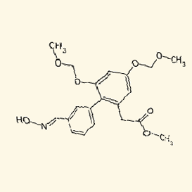 COCOc1cc(CC(=O)OC)c(-c2cccc(C=NO)c2)c(OCOC)c1